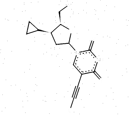 CCC#Cc1cn(C2C[C@@H](C3CC3)[C@@H](CO)O2)c(=O)[nH]c1=O